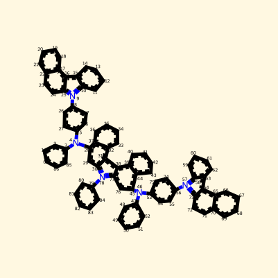 c1ccc(N(c2ccc(-n3c4ccccc4c4c5ccccc5ccc43)cc2)c2cc3c(c4ccccc24)c2c4ccccc4c(N(c4ccccc4)c4ccc(-n5c6ccccc6c6c7ccccc7ccc65)cc4)cc2n3-c2ccccc2)cc1